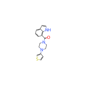 O=C(c1cccc2cc[nH]c12)N1CCN(c2ccsc2)CC1